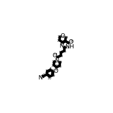 N#Cc1ccc(OC2CCN(C(=O)CCCc3nc4c(c(=O)[nH]3)COCC4)CC2)cc1